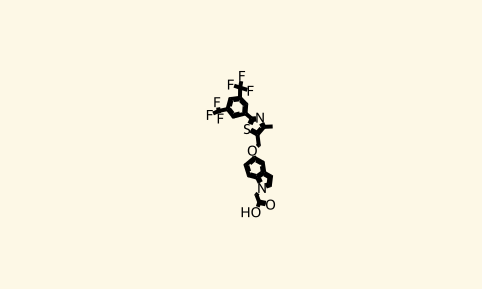 Cc1nc(-c2cc(C(F)(F)F)cc(C(F)(F)F)c2)sc1COc1ccc2c(ccn2CC(=O)O)c1